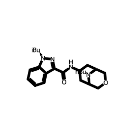 CCCCN1C2COCC1CC(NC(=O)c1nn([C@H](C)CC)c3ccccc13)C2